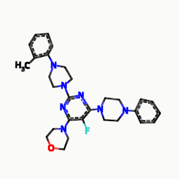 Cc1ccccc1N1CCN(c2nc(N3CCOCC3)c(F)c(N3CCN(c4ccccc4)CC3)n2)CC1